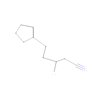 CC(CC#N)CCC1CCCC1